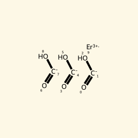 O=[C-]O.O=[C-]O.O=[C-]O.[Er+3]